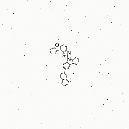 c1ccc2cc(-c3ccc4c(c3)c3ccccc3n4-c3nc4ccc5oc6ccccc6c5c4s3)ccc2c1